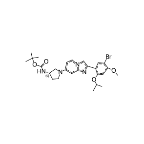 COc1cc(OC(C)C)c(-c2cn3ccc(N4CC[C@H](NC(=O)OC(C)(C)C)C4)cc3n2)cc1Br